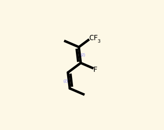 C/C=C\C(F)=C(/C)C(F)(F)F